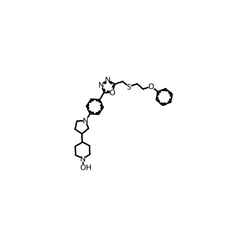 ON1CCC(C2CCN(c3ccc(-c4nnc(CSCCOc5ccccc5)o4)cc3)C2)CC1